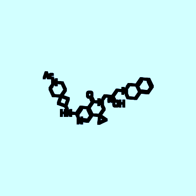 CC(=O)N1CCC2(CC1)CC(Nc1cc3c(cn1)C1(CC1)CN(C[C@H](O)CN1CCc4ccccc4C1)C3=O)C2